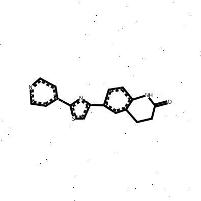 O=C1CCc2cc(-c3csc(-c4ccncc4)n3)ccc2N1